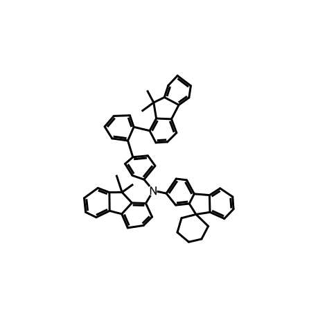 CC1(C)c2ccccc2-c2cccc(-c3ccccc3-c3ccc(N(c4ccc5c(c4)C4(CCCCC4)c4ccccc4-5)c4cccc5c4C(C)(C)c4ccccc4-5)cc3)c21